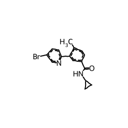 Cc1ccc(C(=O)NC2CC2)cc1-c1ccc(Br)cn1